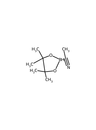 CC#N.CC1(C)OBOC1(C)C